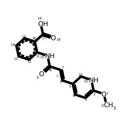 COC1=CC=C(/C=C/C(=O)Nc2ccccc2C(=O)O)CN1